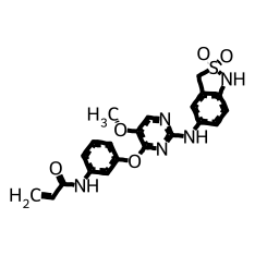 C=CC(=O)Nc1cccc(Oc2nc(Nc3ccc4c(c3)CS(=O)(=O)N4)ncc2OC)c1